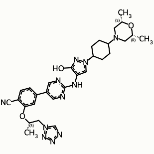 C[C@@H]1CN(C2CCC(n3cc(Nc4ncc(-c5ccc(C#N)c(O[C@@H](C)Cn6cnnn6)c5)cn4)c(O)n3)CC2)C[C@H](C)O1